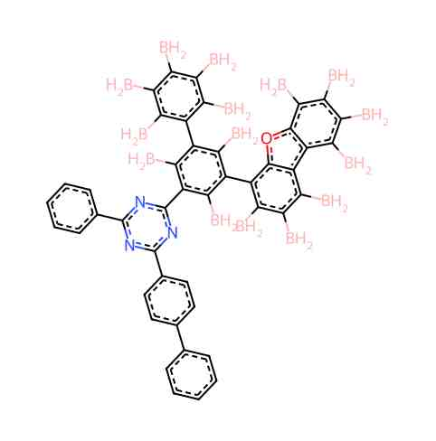 Bc1c(B)c(B)c(-c2c(B)c(-c3nc(-c4ccccc4)nc(-c4ccc(-c5ccccc5)cc4)n3)c(B)c(-c3c(B)c(B)c(B)c4c3oc3c(B)c(B)c(B)c(B)c34)c2B)c(B)c1B